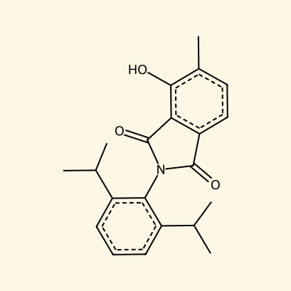 Cc1ccc2c(c1O)C(=O)N(c1c(C(C)C)cccc1C(C)C)C2=O